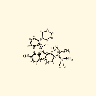 C/C(N)=C(\c1cnc2c3cnc(Cl)cc3n(C(CC3CCOCC3)c3ccccc3)c2c1)N(C)N